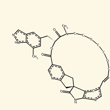 Cc1cc(C[C@H]2OC(=O)c3cnc4c(c3)C[C@@]3(C4)C(=O)Nc4ncc(cc43)/C=C/COCCOCCN(C)C2=O)cc2cn[nH]c12